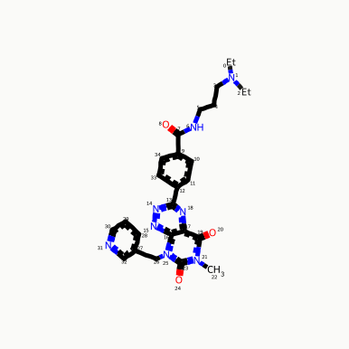 CCN(CC)CCCNC(=O)c1ccc(-c2nnc3c(n2)c(=O)n(C)c(=O)n3Cc2cccnc2)cc1